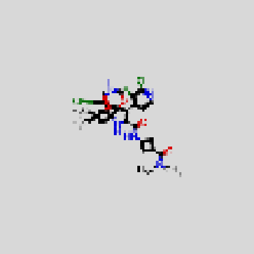 CN(C)C(=O)[C@H]1C[C@H](NC(=O)[C@@H]2NC3(CCC(C)(C)CC3)[C@@]3(OCNc4cc(Cl)ccc43)[C@H]2c2ccnc(Cl)c2F)C1